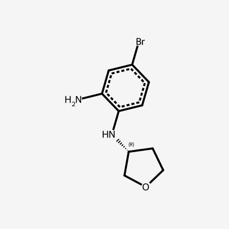 Nc1cc(Br)ccc1N[C@@H]1CCOC1